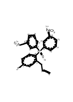 C=CCc1cc(F)ccc1P(=O)(c1cccc([N+](=O)[O-])c1)c1cccc([N+](=O)[O-])c1